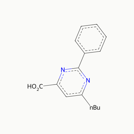 CCCCc1cc(C(=O)O)nc(-c2ccccc2)n1